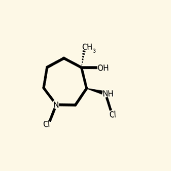 C[C@@]1(O)CCCN(Cl)C[C@@H]1NCl